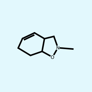 CN1CC2C=CCCC2O1